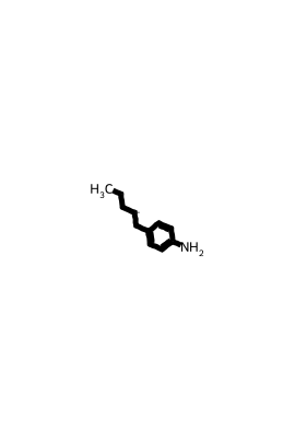 CCC[CH]Cc1ccc(N)cc1